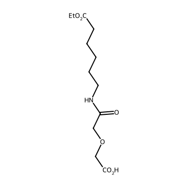 CCOC(=O)CCCCCNC(=O)COCC(=O)O